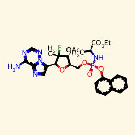 CCOC(=O)[C@H](C)NP(=O)(OC[C@H]1O[C@@H](c2cnc3c(N)ncnn23)[C@](C)(F)[C@@H]1OC(C)=O)Oc1cccc2ccccc12